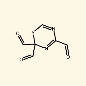 O=CC1=NC(C=O)(C=O)SC=N1